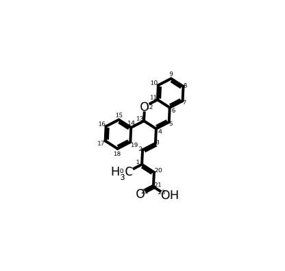 CC(C=CC1=Cc2ccccc2OC1c1ccccc1)=CC(=O)O